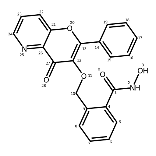 O=C(NO)c1ccccc1COc1c(-c2ccccc2)oc2cccnc2c1=O